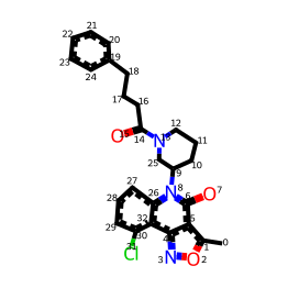 Cc1onc2c1c(=O)n(C1CCCN(C(=O)CCCc3ccccc3)C1)c1cccc(Cl)c21